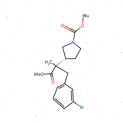 COC(=O)C(C)(Cc1cccc(Br)c1)[C@H]1CCN(C(=O)OC(C)(C)C)C1